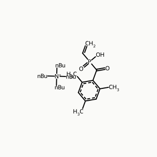 C=CP(=O)(O)C(=O)c1c(C)cc(C)cc1C.CCCC[N+](CCCC)(CCCC)CCCC